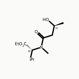 CCOC(=O)[C@@H](C(C)C)N(C)C(=O)C[C@H](C)O